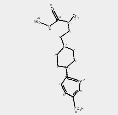 CN(CCN1CCN(c2ccc(C(=O)O)cn2)CC1)C(=O)OC(C)(C)C